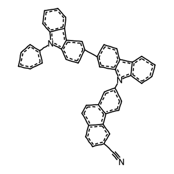 N#Cc1ccc2ccc3cc(-n4c5ccccc5c5ccc(-c6ccc7c(c6)c6ccccc6n7-c6ccccc6)cc54)ccc3c2c1